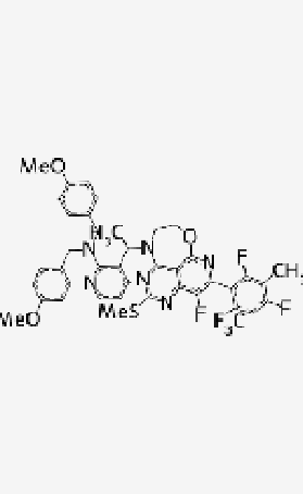 COc1ccc(CN(Cc2ccc(OC)cc2)c2ncccc2[C@@H](C)N2CCOc3nc(-c4c(C(F)(F)F)cc(F)c(C)c4F)c(F)c4nc(SC)nc2c34)cc1